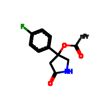 CCCC(=O)OC1(c2ccc(F)cc2)CNC(=O)C1